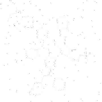 CC(C)(C)c1ccc(N2B3c4cc5nc(-c6ccccc6)n(-c6ccccc6)c5cc4-n4c5ccc(C(C)(C)C)cc5c5c6sc7ccccc7c6c(c3c54)-c3cc4oc5cc6c(cc5c4cc32)C(C)(C)CCC6(C)C)cc1